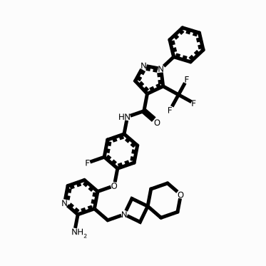 Nc1nccc(Oc2ccc(NC(=O)c3cnn(-c4ccccc4)c3C(F)(F)F)cc2F)c1CN1CC2(CCOCC2)C1